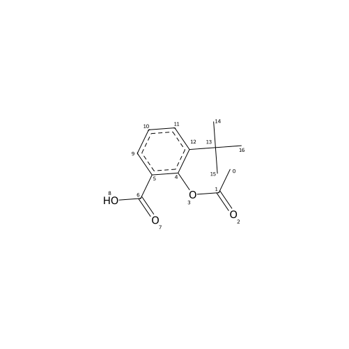 CC(=O)Oc1c(C(=O)O)cccc1C(C)(C)C